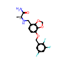 C[C@H](NCc1ccc(OCc2cc(F)cc(F)c2F)c2c1OCO2)C(N)=O